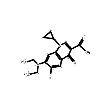 CCN(CC)c1cc2c(cc1F)c(=O)c(C(=O)O)cn2C1CC1